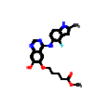 COC(=O)CCCCOc1cc2c(Nc3ccc4[nH]c(C)cc4c3F)ncnc2cc1O